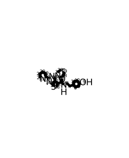 O=C(NCCc1ccc(O)cc1)c1csc2nc(-c3ccccn3)nc(N3CCSCC3)c12